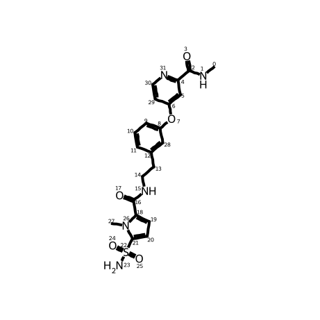 CNC(=O)c1cc(Oc2cccc(CCNC(=O)c3ccc(S(N)(=O)=O)n3C)c2)ccn1